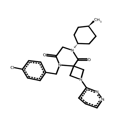 C[C@H]1CC[C@H](N2CC(=O)N(Cc3ccc(Cl)cc3)C3(CN(c4cccnn4)C3)C2=O)CC1